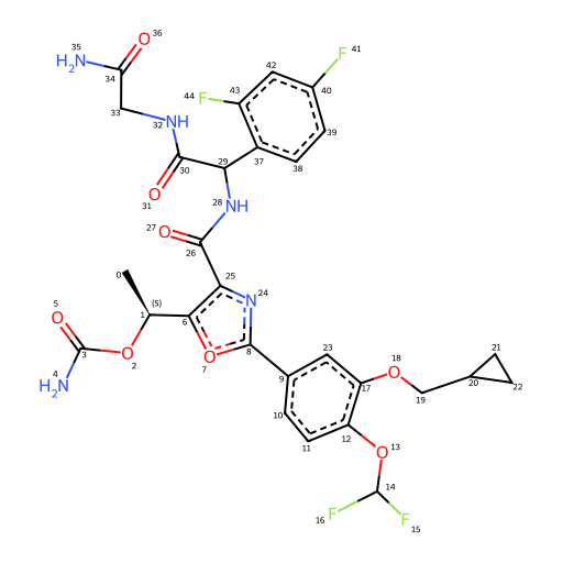 C[C@H](OC(N)=O)c1oc(-c2ccc(OC(F)F)c(OCC3CC3)c2)nc1C(=O)NC(C(=O)NCC(N)=O)c1ccc(F)cc1F